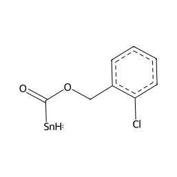 O=[C]([SnH])OCc1ccccc1Cl